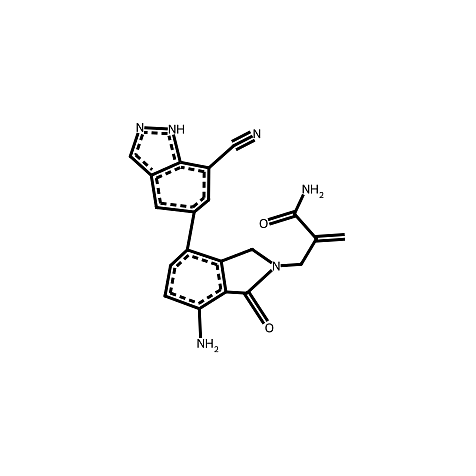 C=C(CN1Cc2c(-c3cc(C#N)c4[nH]ncc4c3)ccc(N)c2C1=O)C(N)=O